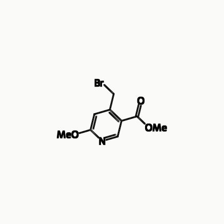 COC(=O)c1cnc(OC)cc1CBr